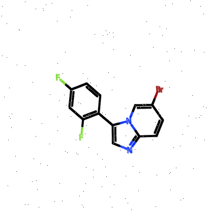 Fc1ccc(-c2cnc3ccc(Br)cn23)c(F)c1